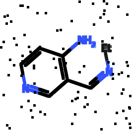 CC/N=C\c1cnccc1N